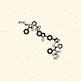 CC(C)OCN[C@@H](C(=O)N1CCC[C@H]1C(=O)Nc1ccc2[nH]c(-c3ccc(-c4cnc([C@@H]5CCCN5C(=O)[C@H](NC(=O)OC(C)C)c5ccccc5)s4)cc3)cc2c1)c1ccccc1